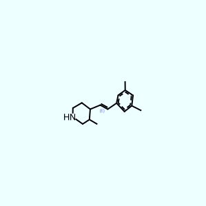 Cc1cc(C)cc(/C=C/C2CCNCC2C)c1